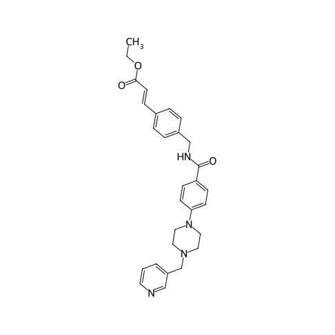 CCOC(=O)/C=C/c1ccc(CNC(=O)c2ccc(N3CCN(Cc4cccnc4)CC3)cc2)cc1